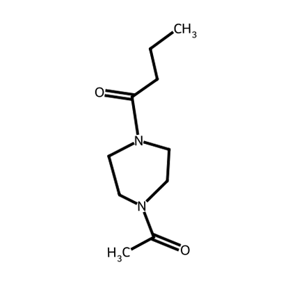 CCCC(=O)N1CCN(C(C)=O)CC1